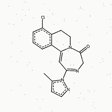 Cc1ccnn1C1=NCC(=O)N2CCc3c(Cl)cccc3C2=C1